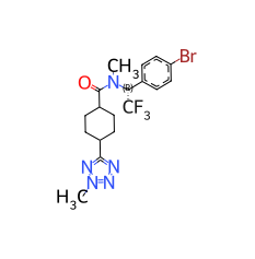 CN(C(=O)C1CCC(c2nnn(C)n2)CC1)[C@H](c1ccc(Br)cc1)C(F)(F)F